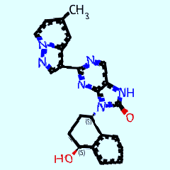 Cc1ccn2ncc(-c3ncc4[nH]c(=O)n([C@H]5CC[C@H](O)c6ccccc65)c4n3)c2c1